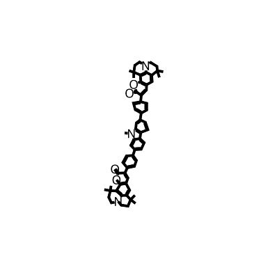 Cn1c2cc(-c3ccc(-c4cc5cc6c7c(c5oc4=O)C(C)(C)CCN7CCC6(C)C)cc3)ccc2c2ccc(-c3ccc(-c4cc5cc6c7c(c5oc4=O)C(C)(C)CCN7CCC6(C)C)cc3)cc21